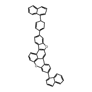 C1=CC(c2cccc3ccccc23)CC=C1c1ccc2c(c1)oc1cc3c4c(cccc4c12)Oc1cc(-c2cccc4ccccc24)ccc1-3